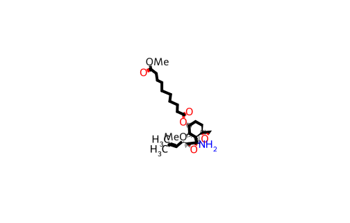 COC(=O)CCCCCCCCC(=O)O[C@@H]1CC[C@]2(CO2)[C@@H]([C@@]2(N)O[C@@H]2CC=C(C)C)[C@@H]1OC